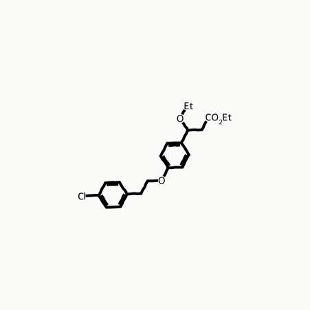 CCOC(=O)CC(OCC)c1ccc(OCCc2ccc(Cl)cc2)cc1